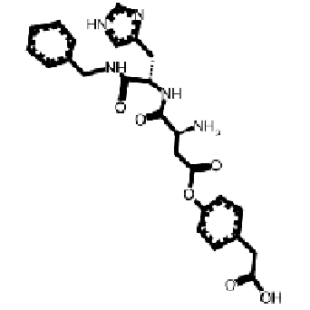 N[C@@H](CC(=O)Oc1ccc(CC(=O)O)cc1)C(=O)N[C@@H](Cc1c[nH]cn1)C(=O)NCc1ccccc1